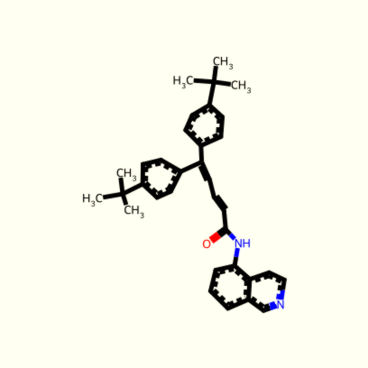 CC(C)(C)c1ccc(C(=C/C=C/C(=O)Nc2cccc3cnccc23)c2ccc(C(C)(C)C)cc2)cc1